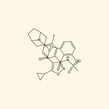 CS(=O)(=O)NC(=O)c1ccc(N2C3CCC2CC(OC(=O)c2c(-c4c(Cl)cccc4Cl)noc2C2CC2)C3)c(F)c1